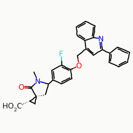 CN1C(=O)[C@@]2(CC1c1ccc(OCc3cc(-c4ccccc4)nc4ccccc34)c(F)c1)C[C@@H]2C(=O)O